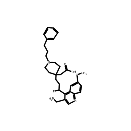 COc1ccc2ncc(CN)c(C(F)CCC3(CC(=O)O)CCN(CCCc4ccccc4)CC3)c2c1